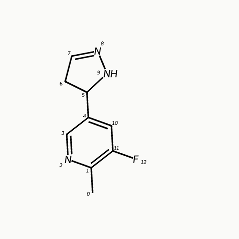 Cc1ncc(C2CC=NN2)cc1F